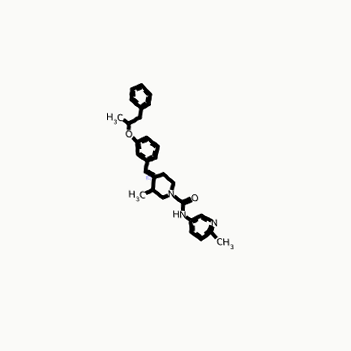 Cc1ccc(NC(=O)N2CC/C(=C\c3cccc(OC(C)Cc4ccccc4)c3)C(C)C2)cn1